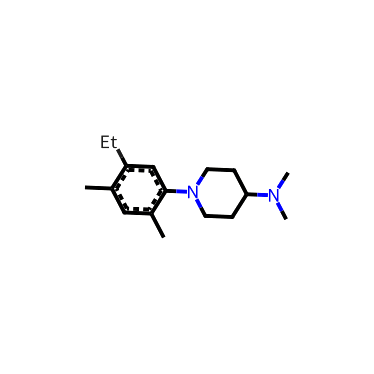 CCc1cc(N2CCC(N(C)C)CC2)c(C)cc1C